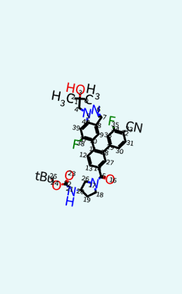 CC(C)(O)Cn1ncc2cc(-c3ccc(C(=O)N4CC[C@H](NC(=O)OC(C)(C)C)C4)cc3-c3ccc(C#N)c(F)c3)c(F)cc21